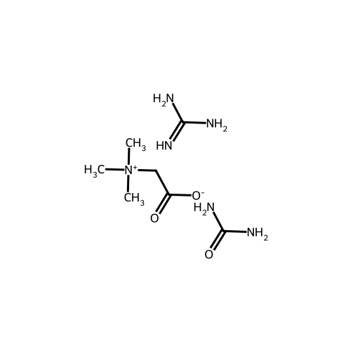 C[N+](C)(C)CC(=O)[O-].N=C(N)N.NC(N)=O